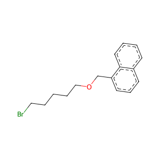 BrCCCCCOCc1cccc2ccccc12